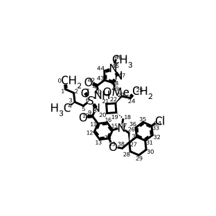 C=CC[C@H](C)CS(=O)(=NC(=O)c1ccc2c(c1)N(C[C@@H]1CC[C@H]1CC=C)C[C@@]1(CCCc3cc(Cl)ccc31)CO2)NC(=O)c1cn(C)nc1OC